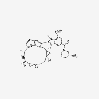 COc1cc(C(=O)N2CCC[C@@H](N)C2)cc2nc(-c3cc4ccc5nc4n3C[C@H]3C[C@H]3CC[C@@H]3C[C@H]3C(=O)N[C@@H]5C)n(C)c12